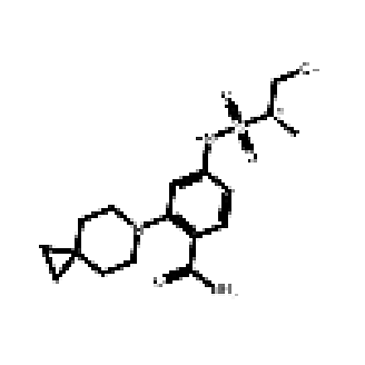 C[C@H](CO)S(=O)(=O)Nc1ccc(C(N)=O)c(N2CCC3(CC2)CC3)c1